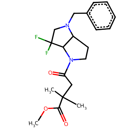 COC(=O)C(C)(C)CC(=O)N1CCC2C1C(F)(F)CN2Cc1ccccc1